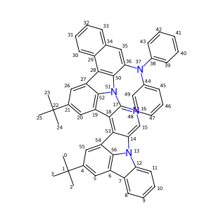 CC(C)(C)c1cc2c3ccccc3n3c4cnc5c(c6cc(C(C)(C)C)cc7c8c9ccccc9cc(N(c9ccccc9)c9ccccc9)c8n5c67)c4c(c1)c23